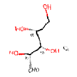 O=C[C@H](O)[C@@H](O)[C@H](O)CO.[C]